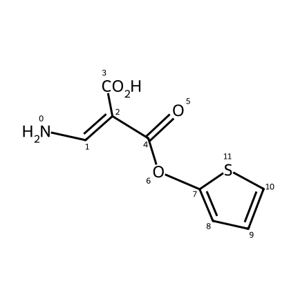 NC=C(C(=O)O)C(=O)Oc1cccs1